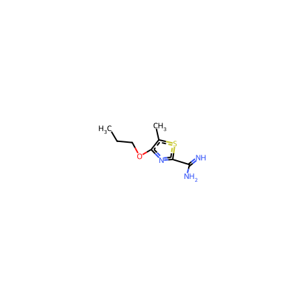 CCCOc1nc(C(=N)N)sc1C